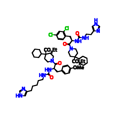 CCOC(=O)C1(C2CCCCC2)CCN(C(=O)[C@@H](Cc2ccc(Cl)cc2Cl)NC(=O)NCCc2c[nH]cn2)CC1.CCOC(=O)C1(C2CCCCC2)CCN(C(=O)[C@@H](Cc2ccc(OC)cc2)NC(=O)NCCCCCc2c[nH]cn2)CC1